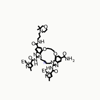 CCn1nc(C)cc1C(=O)Nc1nc2cc(C(N)=O)cc3c2n1C/C=C/Cn1c(NC(=O)c2cc(C)nn2CC)nc2cc(C(=O)NCCCN4CCOCC4(C)C)cc(c21)OCCCO3